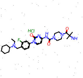 CCN(Cc1ccc(-n2ccc(NC(=O)N3CCN(C(=O)C(C)(C)N)CC3)nc2=O)cc1F)[C@H]1CC[C@H](N)CC1.Cl